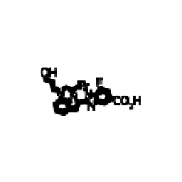 CC(C)C1CN(CCCO)c2cccc3cc(-c4nc5cc(C(=O)O)cc(F)c5n4C)n1c23